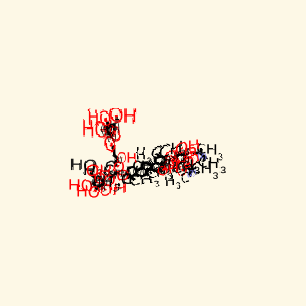 C/C=C(/C)C(=O)OC1[C@@H](OC(=O)/C(C)=C\C)C(C)O[C@@H](O[C@H]2[C@H](O)[C@@]3(COC(C)=O)C(CC2(C)C)C2=CCC4[C@@]5(C)CC[C@H](O[C@H](OC(C(=O)O)[C@@H](O)CCO[C@@H]6O[C@@H](CO)C(O)[C@@H]6O)[C@H](C)O[C@@H]6OC(CO)[C@H](O)C(O)[C@@H]6O)C(C)(C)C5CC[C@@]4(C)[C@]2(C)C[C@@H]3O)[C@H]1O